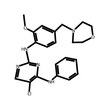 COc1cc(CN2CCOCC2)ccc1Nc1ncc(Cl)c(Nc2[c]cccc2)n1